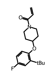 C=CC(=O)N1CCC(Oc2ccc(F)cc2C(C)(C)C)CC1